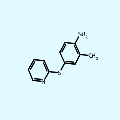 Cc1cc(Sc2ccccn2)ccc1N